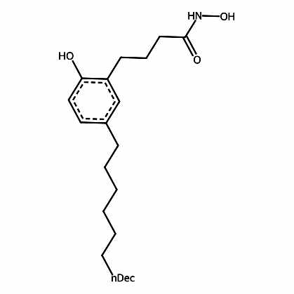 CCCCCCCCCCCCCCCCc1ccc(O)c(CCCC(=O)NO)c1